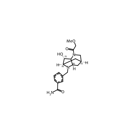 COCC(=O)N1C[C@H]2C[C@@H]3C1[C@@H](O)[C@@H](C2)N3Cc1cccc(C(N)=O)c1